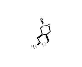 C=C/C=C1/CS(=O)OC/C1=C/C